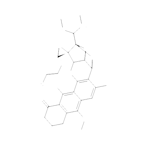 COc1c2c(c(O)c3c4c(c(C)cc13)C1OC3(C(OC)OC)OC1[C@@](OCCN)(O4)[C@@]31CO1)C(=O)CCC2